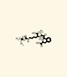 C[C@H](NC(CCCCNC(=O)OC(C)(C)C)C(=O)O)C(=O)C1NC(C(=O)O)Cc2ccccc21